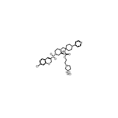 Cl.Cl.O=C(NC1(CN2CCN(S(=O)(=O)C3=Cc4ccc(Cl)cc4OC3)CC2=O)CCN(c2ccncc2)CC1)OCCN1CCCC1